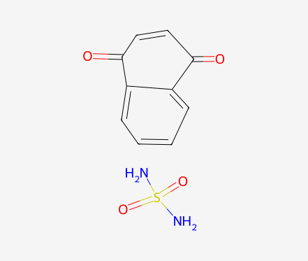 NS(N)(=O)=O.O=C1C=CC(=O)c2ccccc21